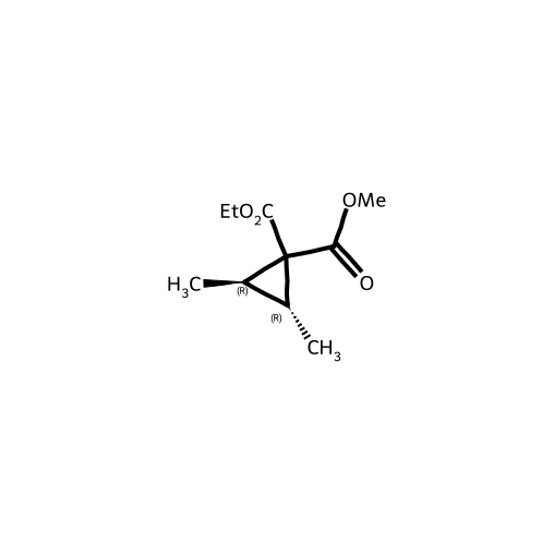 CCOC(=O)C1(C(=O)OC)[C@H](C)[C@H]1C